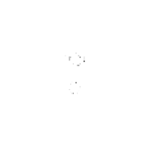 CC(C)(C)n1nnc2c1CCc1ccccc1CC2